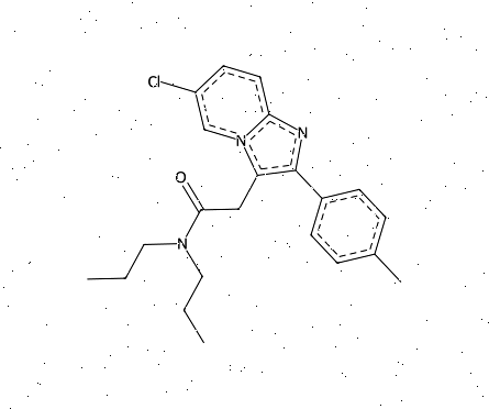 CCCN(CCC)C(=O)Cc1c(-c2ccc(C)cc2)nc2ccc(Cl)cn12